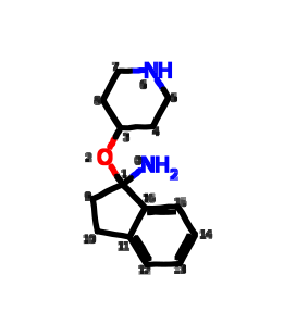 NC1(OC2CCNCC2)CCc2ccccc21